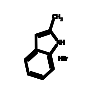 Br.Cc1cc2ccccc2[nH]1